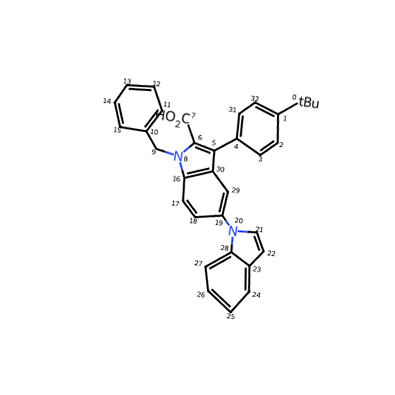 CC(C)(C)c1ccc(-c2c(C(=O)O)n(Cc3ccccc3)c3ccc(-n4ccc5ccccc54)cc23)cc1